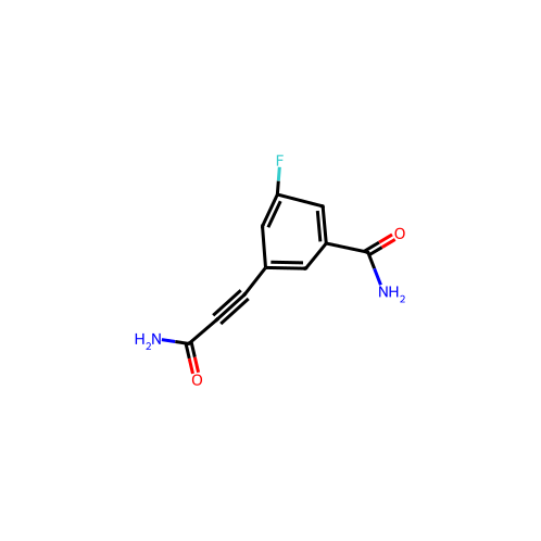 NC(=O)C#Cc1cc(F)cc(C(N)=O)c1